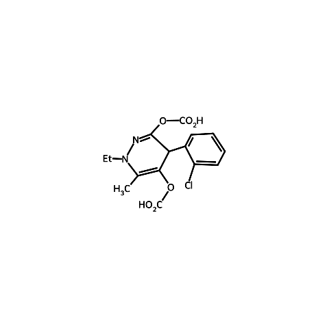 CCN1N=C(OC(=O)O)C(c2ccccc2Cl)C(OC(=O)O)=C1C